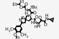 CCC[C@H](NC(=O)[C@@H]1C[C@]2(CC(c3cc(C)c(OCC)c(C)c3)=NO2)CN1C(=O)[C@@H](NC(=O)OC(CC)CC)C(C)(C)C)C(=O)C(=O)NC1CC1